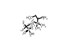 CCC(N)[N+](C)(C)C.O=S(=O)(O)C(F)(F)F